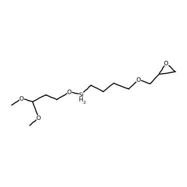 COC(CCO[SiH2]CCCCOCC1CO1)OC